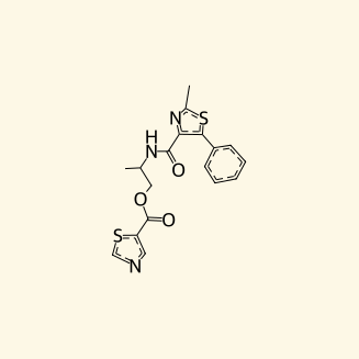 Cc1nc(C(=O)NC(C)COC(=O)c2cncs2)c(-c2ccccc2)s1